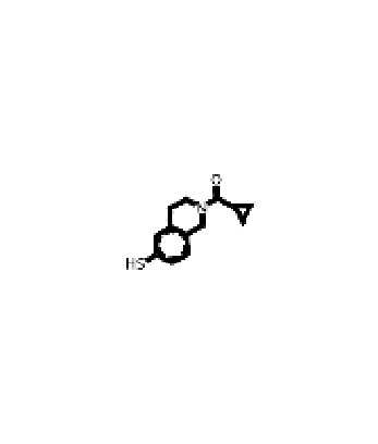 O=C(C1CC1)N1CCc2cc(S)ccc2C1